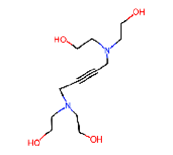 OCCN(CC#CCN(CCO)CCO)CCO